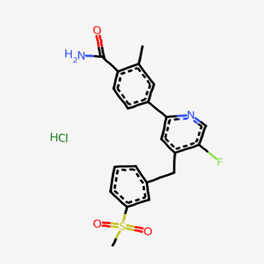 Cc1cc(-c2cc(Cc3cccc(S(C)(=O)=O)c3)c(F)cn2)ccc1C(N)=O.Cl